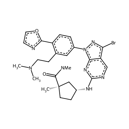 CNC(=O)[C@]1(C)CC[C@@H](Nc2ncc3c(Br)nn(-c4ccc(-c5ncco5)c(CCN(C)C)c4)c3n2)C1